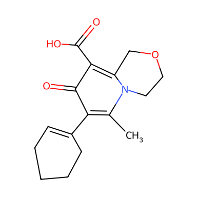 Cc1c(C2=CCCCC2)c(=O)c(C(=O)O)c2n1CCOC2